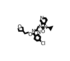 O=c1n(Cc2nc(OCCC3CCOC3)c3ccc(Cl)cc3n2)c2cnccc2n1C1CC1